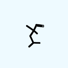 CC(C)CC(C)(C)[C]=O